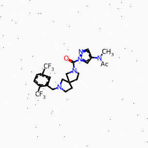 CC(=O)N(C)c1cnn(C(=O)N2CCC3(CCN(Cc4cc(C(F)(F)F)ccc4C(F)(F)F)C3)C2)c1